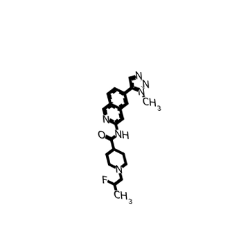 CC(F)CN1CCC(C(=O)Nc2cc3cc(-c4cnnn4C)ccc3cn2)CC1